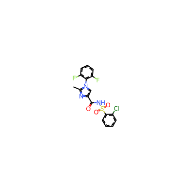 Cc1nc(C(=O)NS(=O)(=O)c2ccccc2Cl)cn1-c1c(F)cccc1F